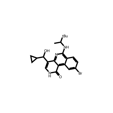 CC(Nc1nc2c(C(O)C3CC3)c[nH]c(=O)c2c2cc(Br)ccc12)C(C)(C)C